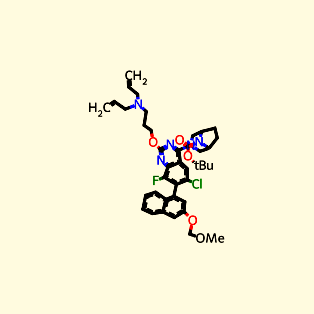 C=CCN(CC=C)CCCOc1nc(N2CC3CCC(C2)N3C(=O)OC(C)(C)C)c2cc(Cl)c(-c3cc(OCOC)cc4ccccc34)c(F)c2n1